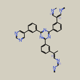 C=N/C=N\C=C(/C)c1cccc(-c2nc(-c3cccc(C(/C=N\C)=C/N=C)c3)nc(-c3cccc(-c4cncnc4)c3)n2)c1